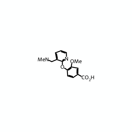 CNCc1cccnc1Oc1ccc(C(=O)O)cc1OC